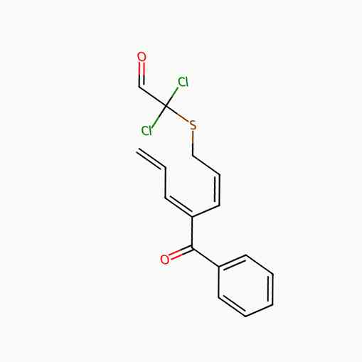 C=C/C=C(\C=C/CSC(Cl)(Cl)C=O)C(=O)c1ccccc1